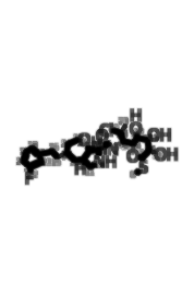 CSC1O[C@H]([C@H](NC(=O)[C@H]2NC[C@@H]3C[C@@H](CCc4cccc(F)c4)CCO[C@H]32)[C@H](C)Cl)C(O)C(O)[C@H]1O